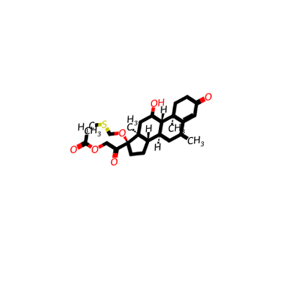 CSCO[C@]1(C(=O)COC(C)=O)CC[C@H]2[C@@H]3CC(C)C4=CC(=O)CC[C@]4(C)[C@H]3C(O)C[C@@]21C